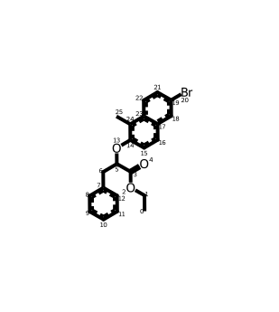 CCOC(=O)C(Cc1ccccc1)Oc1ccc2cc(Br)ccc2c1C